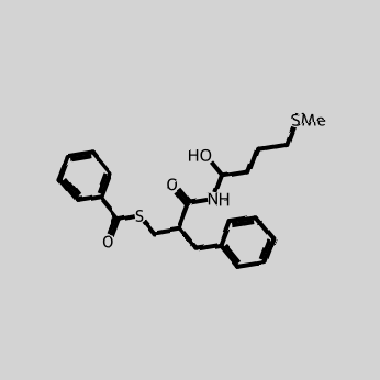 CSCCCC(O)NC(=O)C(CSC(=O)c1ccccc1)Cc1ccccc1